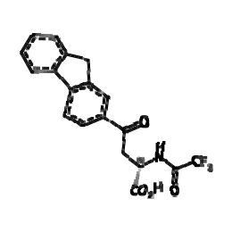 O=C(C[C@H](NC(=O)C(F)(F)F)C(=O)O)c1ccc2c(c1)Cc1ccccc1-2